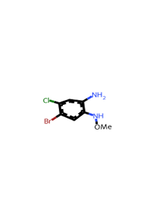 CONc1cc(Br)c(Cl)cc1N